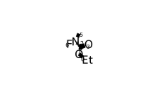 CCOC(=O)N(C)F